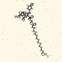 CCCCCCCCCCCCCCCC(=O)OCOC(=O)C1=C(S[C@H]2CC[S@@+]([O-])C2)S[C@@H]2[C@@H]([C@@H](C)O)C(=O)N12